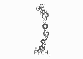 Cn1nc(-c2ccc(CN3CCN(c4ccc(OCC5CCn6cc([N+](=O)[O-])nc6O5)cc4)CC3)s2)cc1C(F)(F)F